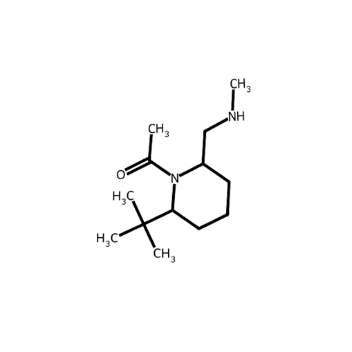 CNCC1CCCC(C(C)(C)C)N1C(C)=O